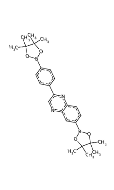 CC1(C)OB(c2ccc(-c3cnc4cc(B5OC(C)(C)C(C)(C)O5)ccc4n3)cc2)OC1(C)C